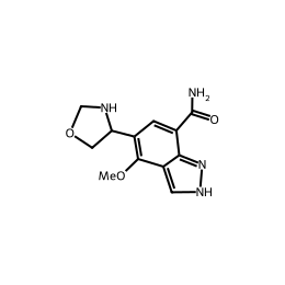 COc1c(C2COCN2)cc(C(N)=O)c2n[nH]cc12